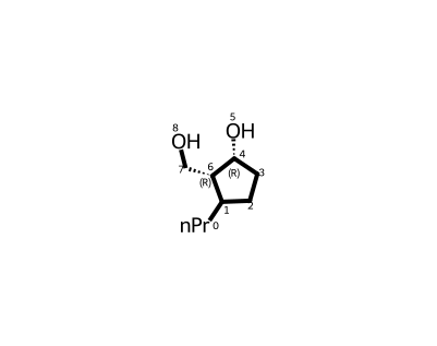 CCCC1CC[C@@H](O)[C@H]1CO